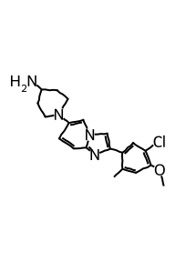 COc1cc(C)c(-c2cn3cc(N4CCC(N)CC4)ccc3n2)cc1Cl